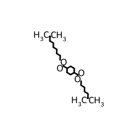 CC(C)CCCCCCCOC(=O)C1CCC(C(=O)OCCCCCC(C)C)CC1